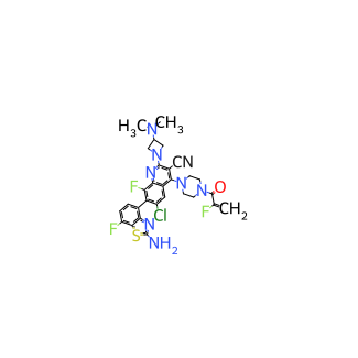 C=C(F)C(=O)N1CCN(c2c(C#N)c(N3CC(N(C)C)C3)nc3c(F)c(-c4ccc(F)c5sc(N)nc45)c(Cl)cc23)CC1